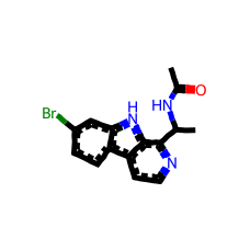 CC(=O)NC(C)c1nccc2c1[nH]c1cc(Br)ccc12